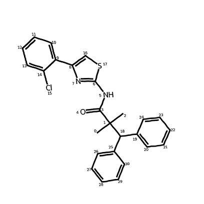 CC(C)(C(=O)Nc1nc(-c2ccccc2Cl)cs1)C(c1ccccc1)c1ccccc1